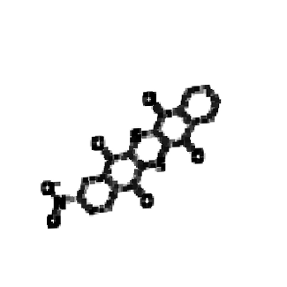 O=c1c2ccccc2c(=O)c2sc3c(=O)c4cc([N+](=O)[O-])ccc4c(=O)c3sc12